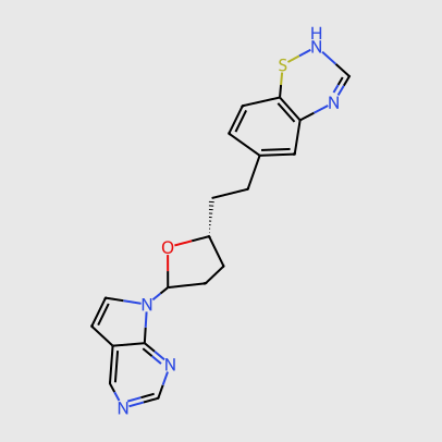 C1=Nc2cc(CC[C@@H]3CCC(n4ccc5cncnc54)O3)ccc2SN1